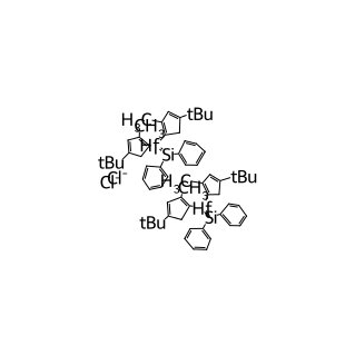 CC1=[C]([Hf]([C]2=C(C)C=C(C(C)(C)C)C2)=[Si](c2ccccc2)c2ccccc2)CC(C(C)(C)C)=C1.CC1=[C]([Hf]([C]2=C(C)C=C(C(C)(C)C)C2)=[Si](c2ccccc2)c2ccccc2)CC(C(C)(C)C)=C1.[Cl-].[Cl-]